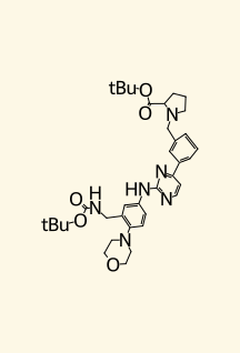 CC(C)(C)OC(=O)NCc1cc(Nc2nccc(-c3cccc(CN4CCCC4C(=O)OC(C)(C)C)c3)n2)ccc1N1CCOCC1